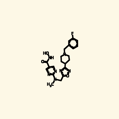 CN(Cc1nc(C2CCN(Cc3cccc(F)c3)CC2)no1)c1ncc(C(=O)NO)cn1